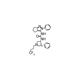 O=C(Nc1c2c(nn1-c1ccccc1)CCC2)NC1CN(CCCC(F)(F)F)C[C@H]1c1ccccc1